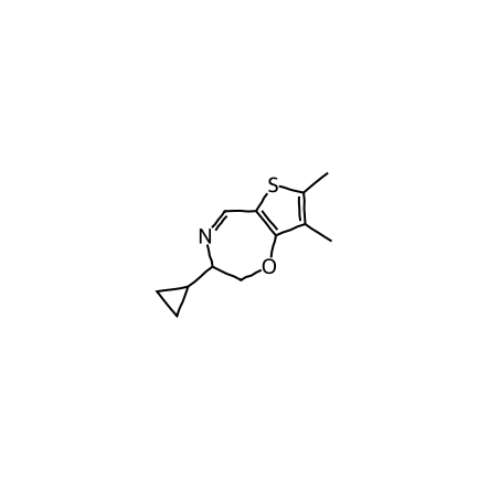 Cc1sc2c(c1C)OCC(C1CC1)N=C2